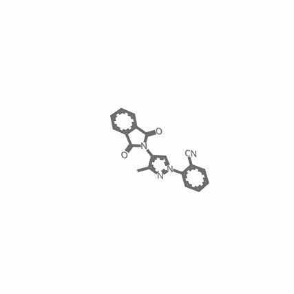 Cc1nn(-c2ccccc2C#N)cc1N1C(=O)c2ccccc2C1=O